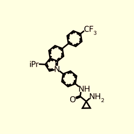 CC(C)c1cn(-c2ccc(NC(=O)C3(N)CC3)cc2)c2cc(-c3ccc(C(F)(F)F)cc3)ccc12